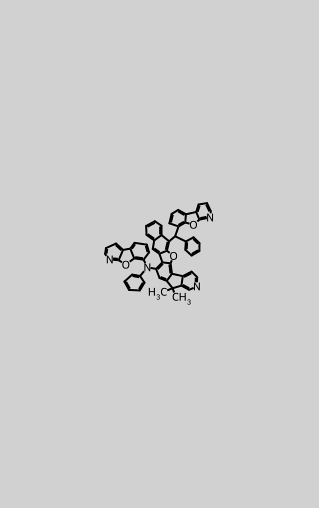 CC1(C)c2cnccc2-c2c1cc(N(c1ccccc1)c1cccc3c1oc1ncccc13)c1c2oc2c(C(c3ccccc3)c3cccc4c3oc3ncccc34)c3ccccc3cc21